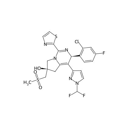 CS(=O)(=O)C[C@@]1(O)CC2=C(c3ccn(C(F)F)n3)[C@H](c3ccc(F)cc3Cl)N=C(c3nccs3)N2C1